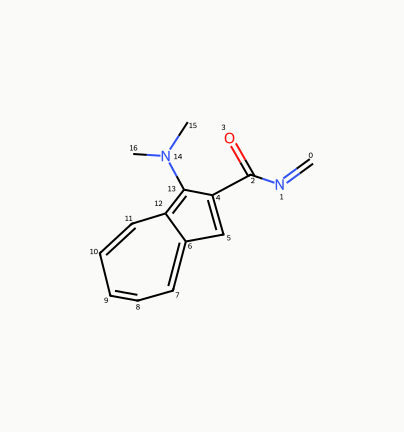 C=NC(=O)c1cc2cccccc-2c1N(C)C